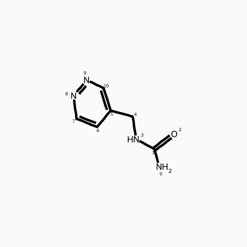 NC(=O)NCc1ccnnc1